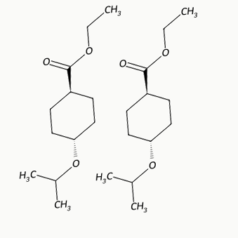 CCOC(=O)[C@H]1CC[C@H](OC(C)C)CC1.CCOC(=O)[C@H]1CC[C@H](OC(C)C)CC1